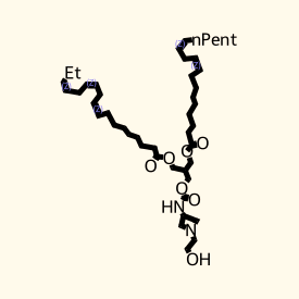 CC/C=C\C/C=C\C/C=C\CCCCCCCC(=O)OCC(COC(=O)CCCCCCC/C=C\C/C=C\CCCCC)COC(=O)NC1CN(CCO)C1